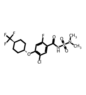 CN(C)S(=O)(=O)NC(=O)c1cc(Cl)c(O[C@H]2CC[C@H](C(F)(F)F)CC2)cc1F